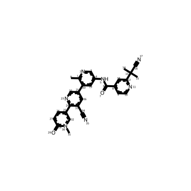 Cc1ncc(NC(=O)c2ccnc(C(C)(C)C#N)c2)cc1-c1cnc(-c2ccc(=O)n(C)c2)c(C#N)c1